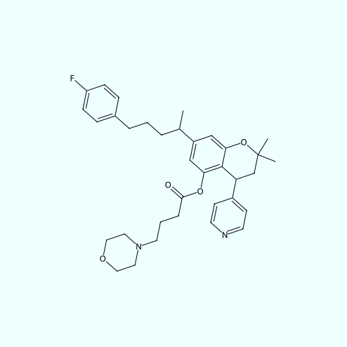 CC(CCCc1ccc(F)cc1)c1cc(OC(=O)CCCN2CCOCC2)c2c(c1)OC(C)(C)CC2c1ccncc1